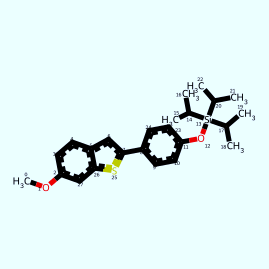 COc1ccc2cc(-c3ccc(O[Si](C(C)C)(C(C)C)C(C)C)cc3)sc2c1